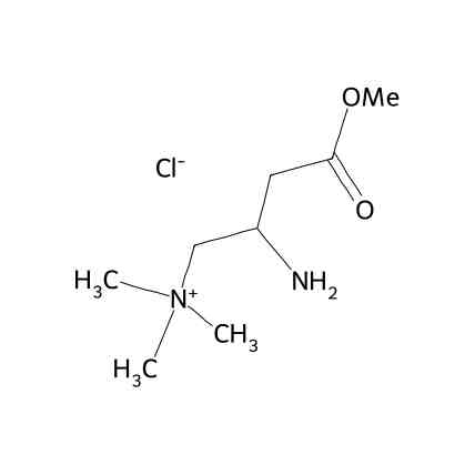 COC(=O)CC(N)C[N+](C)(C)C.[Cl-]